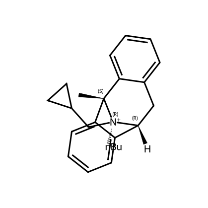 CCCC[N@@+]1(CC2CC2)[C@@H]2Cc3ccccc3[C@@]1(C)c1ccccc12